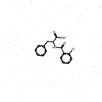 O=C(NC(Cc1ccccc1)C(=O)O)c1ccccc1Cl